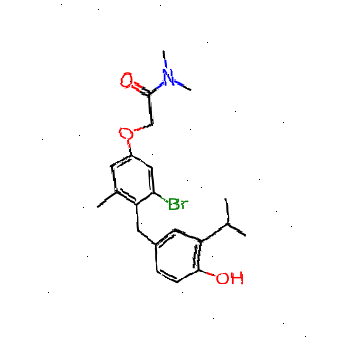 Cc1cc(OCC(=O)N(C)C)cc(Br)c1Cc1ccc(O)c(C(C)C)c1